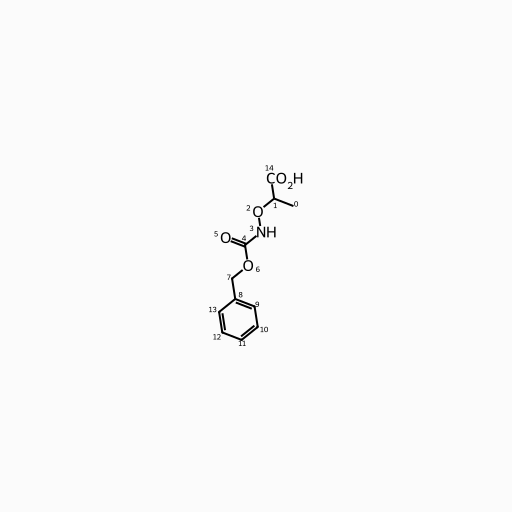 CC(ONC(=O)OCc1ccccc1)C(=O)O